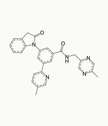 Cc1ccc(-c2cc(C(=O)NCc3cnc(C)cn3)cc(N3C(=O)Cc4ccccc43)c2)nc1